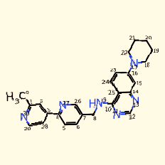 Cc1cc(-c2ccc(CNc3ncnc4cc(N5CCCCC5)ccc34)cn2)ccn1